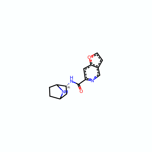 O=C(N[C@@H]1CC2CCC1N2)c1cc2occc2cn1